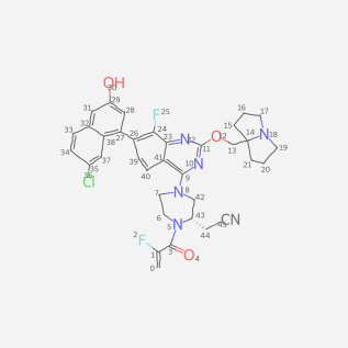 C=C(F)C(=O)N1CCN(c2nc(OCC34CCCN3CCC4)nc3c(F)c(-c4cc(O)cc5ccc(Cl)cc45)ccc23)C[C@@H]1CC#N